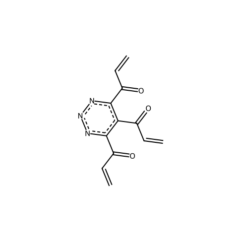 C=CC(=O)c1nnnc(C(=O)C=C)c1C(=O)C=C